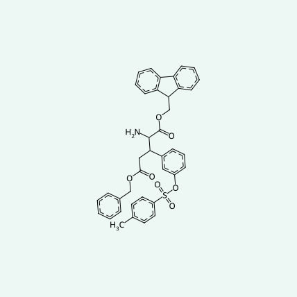 Cc1ccc(S(=O)(=O)Oc2cccc(C(CC(=O)OCc3ccccc3)C(N)C(=O)OCC3c4ccccc4-c4ccccc43)c2)cc1